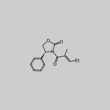 CC/C=C(\C)C(=O)N1C(=O)OC[C@@H]1c1ccccc1